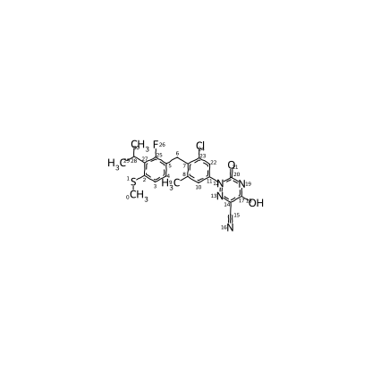 CSc1ccc(Cc2c(C)cc(-n3nc(C#N)c(O)nc3=O)cc2Cl)c(F)c1C(C)C